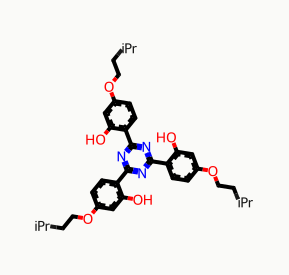 CC(C)CCOc1ccc(-c2nc(-c3ccc(OCCC(C)C)cc3O)nc(-c3ccc(OCCC(C)C)cc3O)n2)c(O)c1